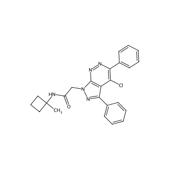 CC1(NC(=O)Cn2nc(-c3ccccc3)c3c(Cl)c(-c4ccccc4)nnc32)CCC1